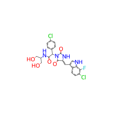 O=C(NC(CO)CO)C(c1ccc(Cl)cc1)N1C(=O)NC(=Cc2c[nH]c3c(F)c(Cl)ccc23)C1=O